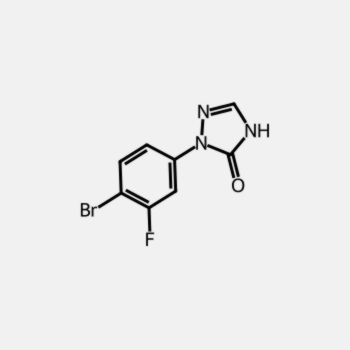 O=c1[nH]cnn1-c1ccc(Br)c(F)c1